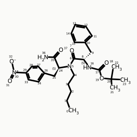 CCCCCN(C(=O)[C@H](Cc1ccccc1)NC(=O)OC(C)(C)C)[C@@H](Cc1ccc([N+](=O)[O-])cc1)C(N)=O